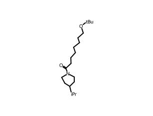 CC(C)C1CCN(C(=O)CCCCCCCOC(C)(C)C)CC1